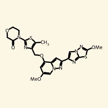 COc1cc(OCc2nc(N3CCOCC3=O)sc2C)c2cc(-c3cn4nc(OC)sc4n3)nn2c1